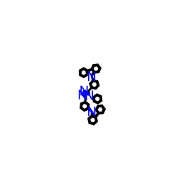 c1ccc(-n2c(-c3cccc(-n4c5ccccc5c5ccccc54)c3)nnc2-c2cccc(-n3c4ccccc4c4ccccc43)c2)cc1